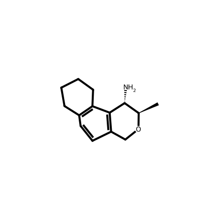 C[C@H]1OCc2ccc3c(c2[C@@H]1N)CCCC3